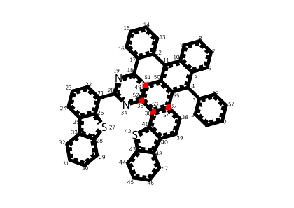 c1ccc(-c2c3ccccc3c(-c3ccccc3-c3nc(-c4cccc5c4sc4ccccc45)nc(-c4cccc5c4sc4ccccc45)n3)c3ccccc23)cc1